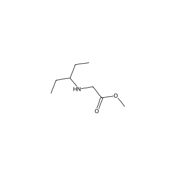 CCC(CC)NCC(=O)OC